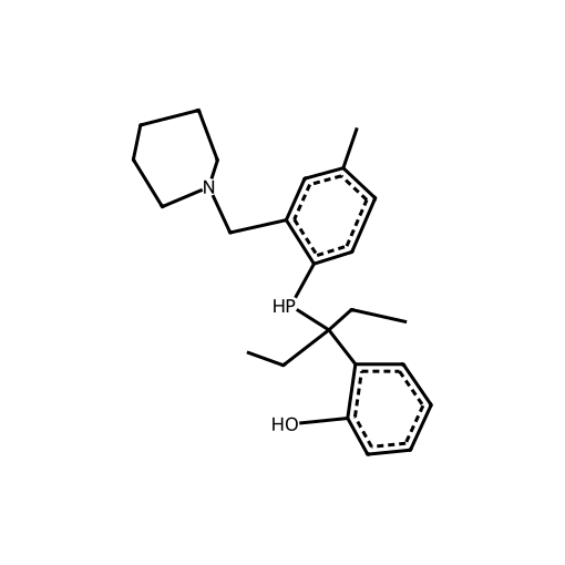 CCC(CC)(Pc1ccc(C)cc1CN1CCCCC1)c1ccccc1O